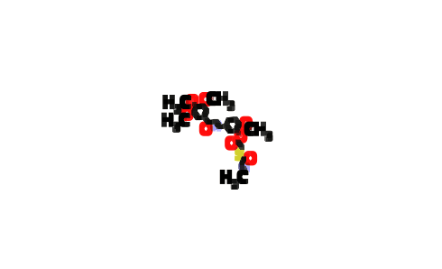 C/C=C/C(=O)SCC(=O)Oc1cc(/C=C/C(=O)c2cc(OC)c(OC)c(OC)c2)ccc1OC